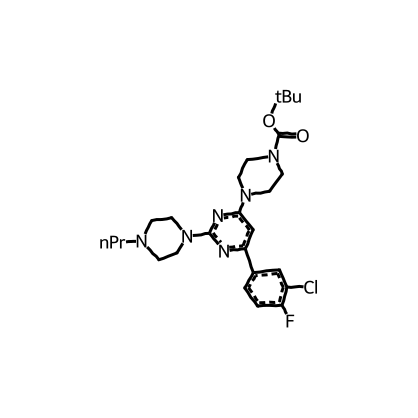 CCCN1CCN(c2nc(-c3ccc(F)c(Cl)c3)cc(N3CCN(C(=O)OC(C)(C)C)CC3)n2)CC1